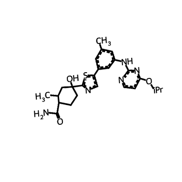 Cc1cc(Nc2nccc(OC(C)C)n2)cc(-c2cnc(C3(O)CCC(C(N)=O)C(C)C3)s2)c1